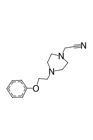 N#CCN1CCN(CCOc2ccccc2)CC1